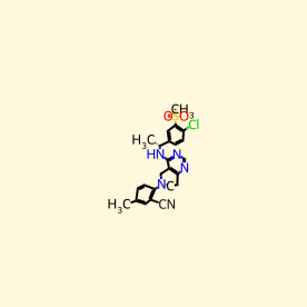 Cc1ccc(N2CCc3ncnc(N[C@H](C)c4ccc(Cl)c(S(C)(=O)=O)c4)c3C2)c(C#N)c1